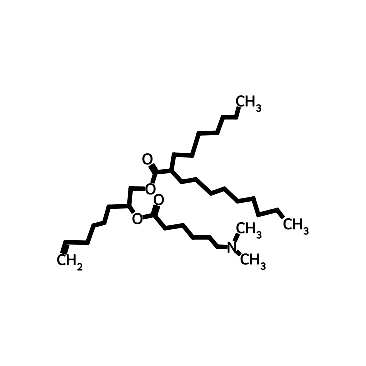 C=CCCCCC(COC(=O)C(CCCCCCC)CCCCCCCCC)OC(=O)CCCCCN(C)C